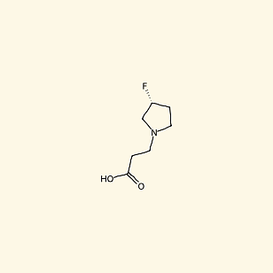 O=C(O)CCN1CC[C@@H](F)C1